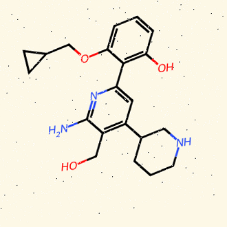 Nc1nc(-c2c(O)cccc2OCC2CC2)cc(C2CCCNC2)c1CO